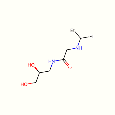 CCC(CC)NCC(=O)NC[C@H](O)CO